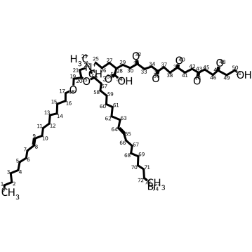 CCCCCCCCC=CCCCCCCCCOCC(C[N+](C)(C)CCCC(CCC(=O)CCC(=O)CCC(=O)CCC(=O)CCC(=O)CCO)C(=O)O)OCCCCCCCCC=CCCCCCCCC.[Br-]